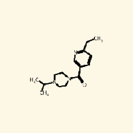 CCc1ccc(C(=O)N2CCN(C(C)C)CC2)cn1